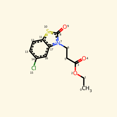 CCOC(=O)CCn1c(=O)sc2ccc(Cl)cc21